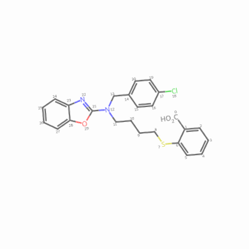 O=C(O)c1ccccc1SCCCCN(Cc1ccc(Cl)cc1)c1nc2ccccc2o1